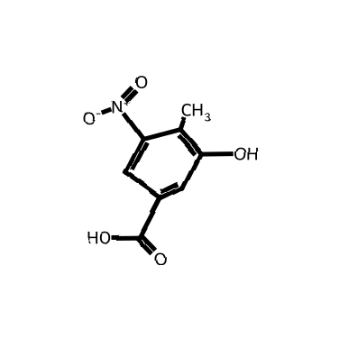 Cc1c(O)cc(C(=O)O)cc1[N+](=O)[O-]